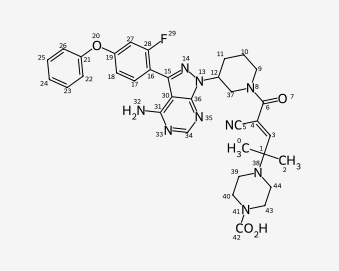 CC(C)(/C=C(\C#N)C(=O)N1CCCC(n2nc(-c3ccc(Oc4ccccc4)cc3F)c3c(N)ncnc32)C1)N1CCN(C(=O)O)CC1